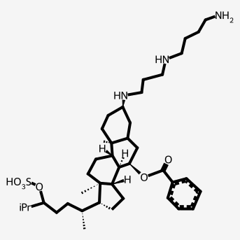 CC(C)C(CC[C@@H](C)[C@H]1CC[C@H]2[C@@H]3[C@H](OC(=O)c4ccccc4)CC4C[C@H](NCCCNCCCCN)CC[C@]4(C)[C@H]3CC[C@]12C)OS(=O)(=O)O